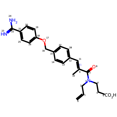 C=CCN(CCC(=O)O)C(=O)/C(C)=C/c1ccc(COc2ccc(C(=N)N)cc2)cc1